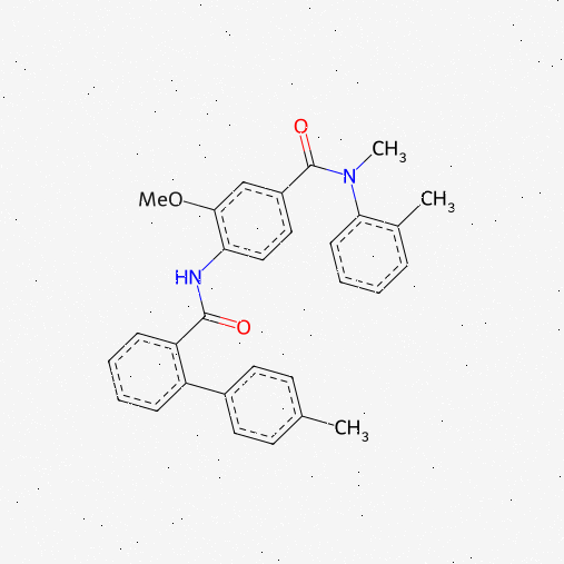 COc1cc(C(=O)N(C)c2ccccc2C)ccc1NC(=O)c1ccccc1-c1ccc(C)cc1